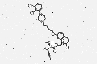 CC#CC(C)N(PC)C(=O)OCN1C(=O)CCc2ccc(OCCCCN3CCN(c4cccc(Cl)c4Cl)CC3)cc21